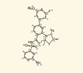 [2H]C1[C@@H](C)CC(C)(C)N1c1nc(-c2cc(F)cc(OCC(C)C)c2)ccc1C(=O)NS(=O)(=O)c1cccc(N)n1